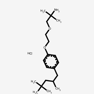 CC(Cc1ccc(OCCOCC(C)(C)N)cc1)CC(C)(C)C.Cl